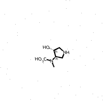 CN(C(=O)O)[C@@H]1CNC[C@H]1O